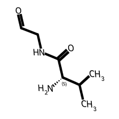 CC(C)[C@H](N)C(=O)NCC=O